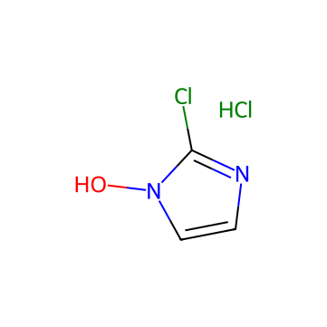 Cl.On1ccnc1Cl